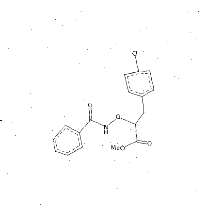 COC(=O)C(Cc1ccc(Cl)cc1)ONC(=O)c1ccccc1